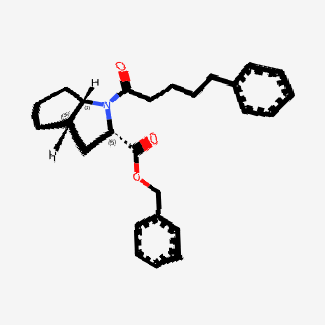 O=C(OCc1ccccc1)[C@@H]1C[C@@H]2CCC[C@@H]2N1C(=O)CCCCc1ccccc1